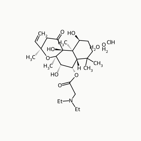 C=C[C@@]1(C)CC(=O)[C@]2(O)[C@@]3(C)[C@@H](O)CCC(C)(C)[C@@H]3[C@H](OC(=O)CN(CC)CC)[C@H](O)[C@@]2(C)O1.Cl.O.O